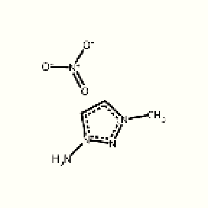 Cn1cc[n+](N)n1.O=[N+]([O-])[O-]